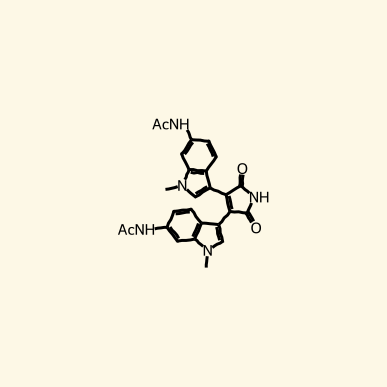 CC(=O)Nc1ccc2c(C3=C(c4cn(C)c5cc(NC(C)=O)ccc45)C(=O)NC3=O)cn(C)c2c1